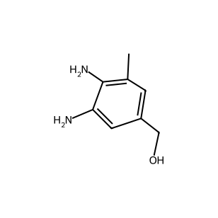 Cc1cc(CO)cc(N)c1N